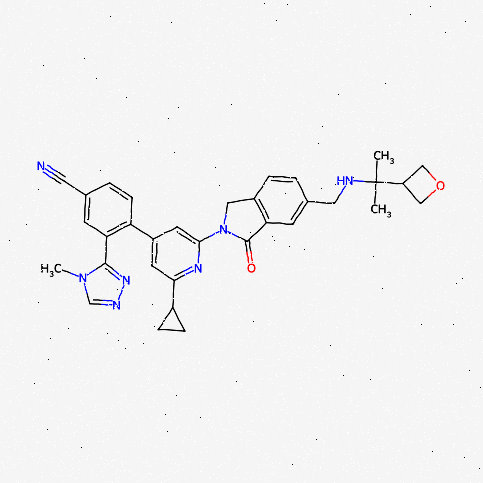 Cn1cnnc1-c1cc(C#N)ccc1-c1cc(C2CC2)nc(N2Cc3ccc(CNC(C)(C)C4COC4)cc3C2=O)c1